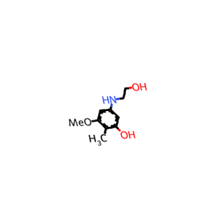 COc1cc(NCCO)cc(O)c1C